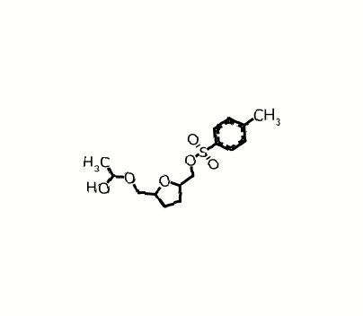 Cc1ccc(S(=O)(=O)OCC2CCC(COC(C)O)O2)cc1